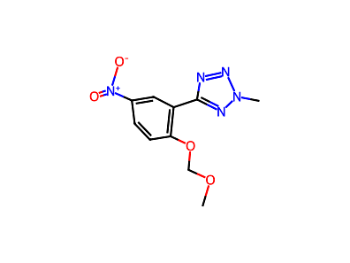 COCOc1ccc([N+](=O)[O-])cc1-c1nnn(C)n1